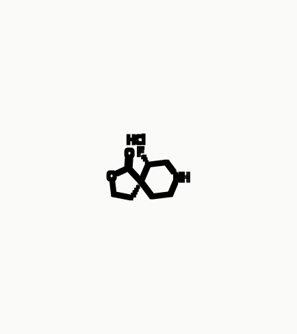 Cl.O=C1OCC[C@]12CCNC[C@H]2F